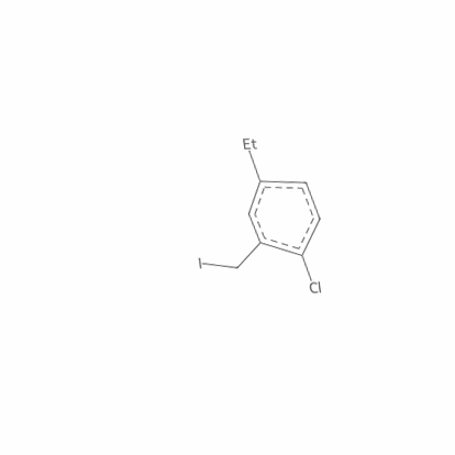 CCc1ccc(Cl)c(CI)c1